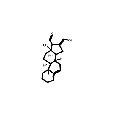 C[C@]12CCCCC1=CC[C@@H]1[C@@H]2CC[C@]2(C)C(C=O)C(=CO)C[C@@H]12